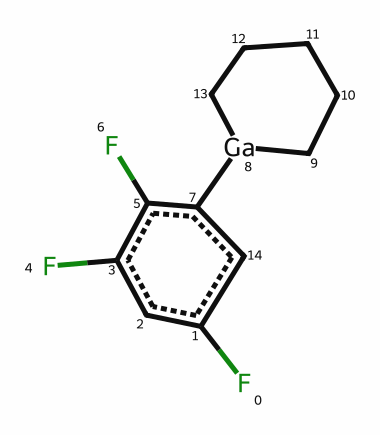 Fc1cc(F)c(F)[c]([Ga]2[CH2]CCC[CH2]2)c1